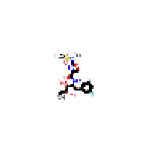 CN(c1nc(C(=O)NC(Cc2cc(F)cc(F)c2)C(O)C(O)CC#N)co1)S(C)(=O)=O